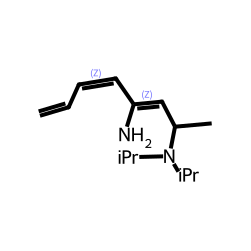 C=C/C=C\C(N)=C\C(C)N(C(C)C)C(C)C